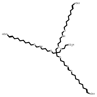 CCCCCCCC/C=C/CCCCCCCO/C=N/CCCOCC(COCCCNCOCCCCCCC/C=C/CCCCCCCC)(COCCCNCOCCCCCCC/C=C/CCCCCCCC)COCCC(=O)O